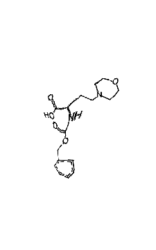 O=C(NC(CCN1CCOCC1)C(=O)O)OCc1ccccc1